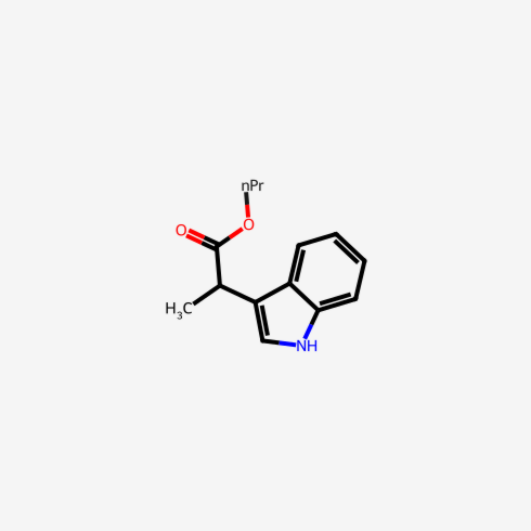 CCCOC(=O)C(C)c1c[nH]c2ccccc12